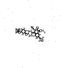 Cn1c(=O)c(C#N)c(N2CCC(Oc3cccc(OC(F)(F)F)c3)CC2)c2ccc(C3COC3)cc21